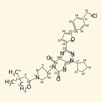 CC(C)(C)CC(=O)N1CCC(n2c(=O)nc3n(C4CCCC4)nc(-c4ccc(-c5ccc(CCl)cc5)o4)nc-3c2=O)CC1